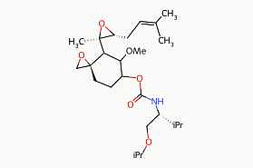 COC1C(OC(=O)N[C@@H](COC(C)C)C(C)C)CC[C@]2(CO2)C1[C@@]1(C)O[C@@H]1CC=C(C)C